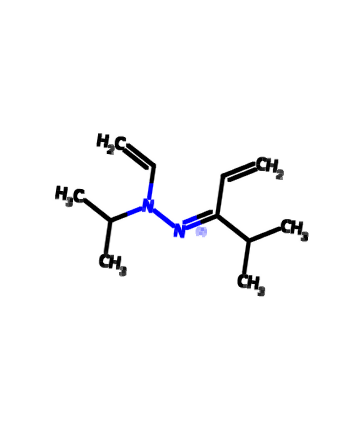 C=C/C(=N\N(C=C)C(C)C)C(C)C